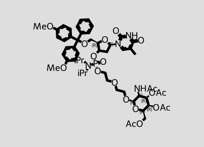 COc1ccc(C(OC[C@H]2O[C@@H](n3cc(C)c(=O)[nH]c3=O)CC2OP(=O)(OCCOCCO[C@@H]2O[C@H](COC(C)=O)[C@H](OC(C)=O)[C@H](OC(C)=O)[C@@H]2NC(C)=O)N(C(C)C)C(C)C)(c2ccccc2)c2ccc(OC)cc2)cc1